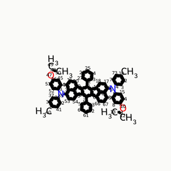 Cc1ccc(N(c2ccc(OC(C)C)cc2)c2ccc3c4c(-c5ccccc5)c5c6cccc7c(N(c8ccc(C)cc8)c8ccc(OC(C)C)cc8)ccc(c5c(-c5ccccc5)c4c4cccc2c43)c76)cc1